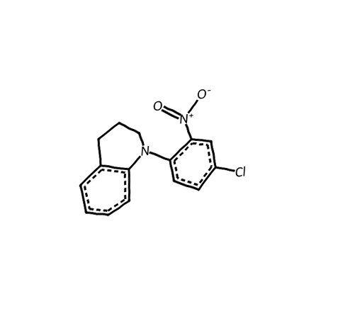 O=[N+]([O-])c1cc(Cl)ccc1N1CCCc2ccccc21